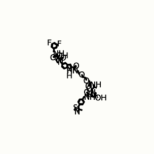 Cc1ncsc1-c1ccc(CNC(=O)[C@@H]2C[C@@H](O)CN2C(=O)C(C)NC(=O)COCCOCCNC(=O)c2cc3cc(N4CCC(O)(C(=O)NCc5cc(F)cc(F)c5)C4=O)ccc3[nH]2)cc1